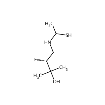 CC(S)NC[C@@H](F)C(C)(C)O